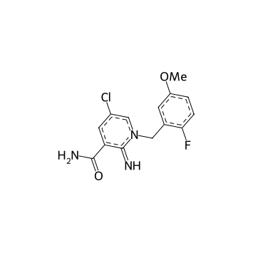 COc1ccc(F)c(Cn2cc(Cl)cc(C(N)=O)c2=N)c1